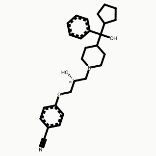 N#Cc1ccc(OC[C@H](O)CN2CCC(C(O)(c3ccccc3)C3CCCC3)CC2)cc1